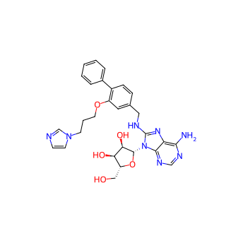 Nc1ncnc2c1nc(NCc1ccc(-c3ccccc3)c(OCCCn3ccnc3)c1)n2[C@@H]1O[C@H](CO)[C@@H](O)[C@H]1O